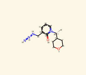 C[C@H](C1CCOCC1)n1cccc(CN=[N+]=[N-])c1=O